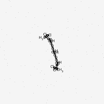 CN1Cc2c(Cl)cc(Cl)cc2[C@H](c2ccc(S(=O)(=O)NCCOCCOCCOCCNC(=O)NCCOCCOCCOCCNS(=O)(=O)C3CCC([C@@H]4CN(C)Cc5c(Cl)cc(Cl)cc54)CC3)cc2)C1